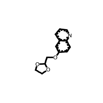 c1cnc2ccc(OCC3OCCO3)cc2c1